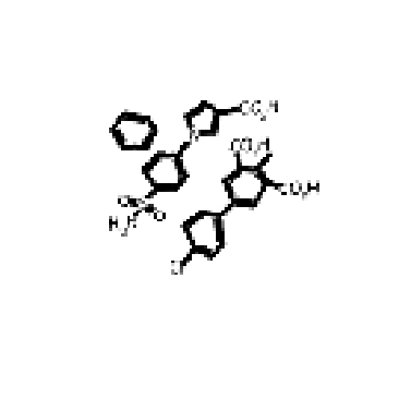 Cc1c(C(=O)O)cc(-c2ccc(Cl)cc2)cc1C(=O)O.NS(=O)(=O)c1ccc(-n2ccc(C(=O)O)c2)cc1.c1ccccc1